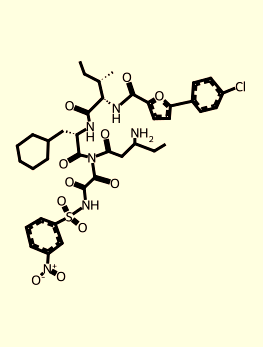 CCC(N)CC(=O)N(C(=O)C(=O)NS(=O)(=O)c1cccc([N+](=O)[O-])c1)C(=O)[C@H](CC1CCCCC1)NC(=O)[C@@H](NC(=O)c1ccc(-c2ccc(Cl)cc2)o1)[C@@H](C)CC